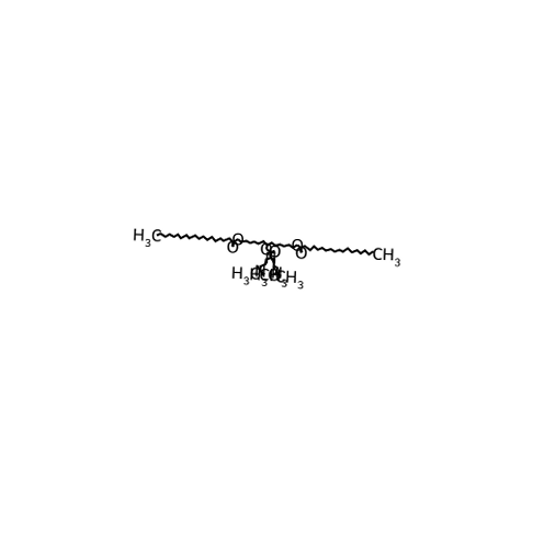 CCCCCCCCCCCCCCCCCCC(=O)OCCCCCCC(CCCCCCOC(=O)CCCCCCCCCCCCCCCCCC)OC(=O)N(CCCN(C)C)CCCN(C)C